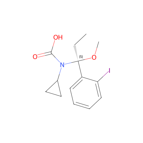 CC[C@](OC)(c1ccccc1I)N(C(=O)O)C1CC1